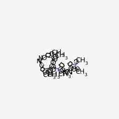 CO/C=C(/C(=O)CC1OC(=O)C(C(OC)OC)c2ccccc2Oc2cc(ncn2)Oc2ccccc2C(C(OC)OC)C(=O)O1)c1ccccc1Oc1cc(Oc2ccccc2/C(=C\OC)C(=O)OC)ncn1